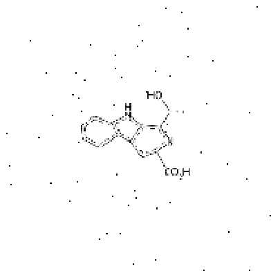 C[C@@H](O)c1nc(C(=O)O)cc2c1[nH]c1ccccc12